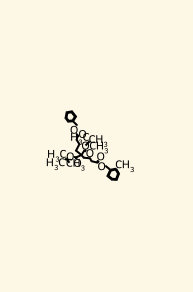 Cc1ccccc1COC(=O)CCCC(CCCC(=O)OCc1ccccc1)(C(=O)OC(C)(C)C)C(=O)OC(C)(C)C